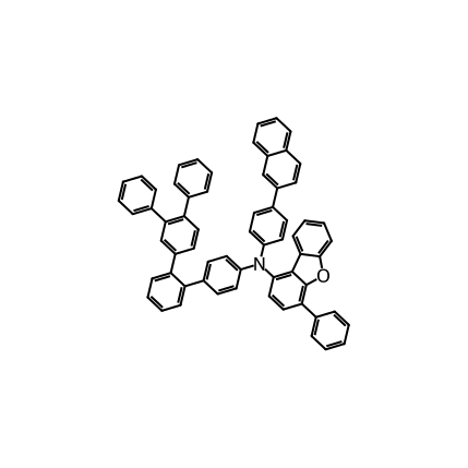 c1ccc(-c2ccc(-c3ccccc3-c3ccc(N(c4ccc(-c5ccc6ccccc6c5)cc4)c4ccc(-c5ccccc5)c5oc6ccccc6c45)cc3)cc2-c2ccccc2)cc1